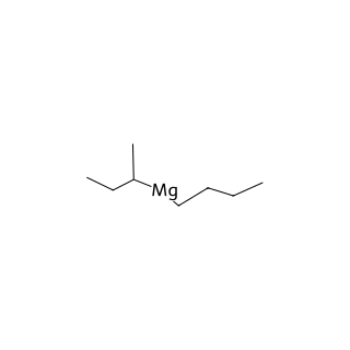 CCC[CH2][Mg][CH](C)CC